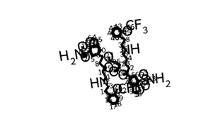 NS(=O)(=O)c1cc(C(CCCCNCCc2ccccc2OC(F)(F)F)OC(=O)/C=C\C(=O)OC(CCCCNCCc2ccccc2OC(F)(F)F)c2cc3c(c(S(N)(=O)=O)c2)OCC3)cc2c1OCC2